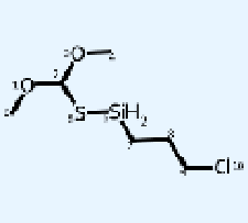 COC(OC)S[SiH2]CCCCl